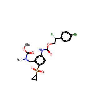 CN(Cc1cc(NC(=O)OC[C@H](F)c2ccc(Br)cc2)ccc1S(=O)(=O)C1CC1)C(=O)OC(C)(C)C